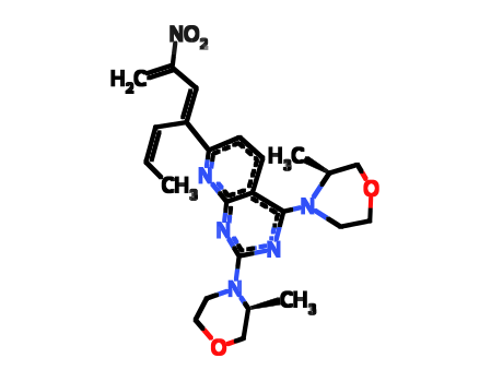 C=C(/C=C(\C=C/C)c1ccc2c(N3CCOC[C@@H]3C)nc(N3CCOC[C@@H]3C)nc2n1)[N+](=O)[O-]